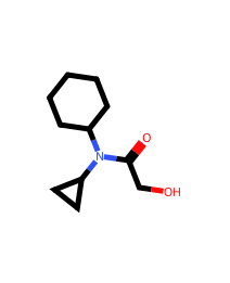 O=C(CO)N(C1CCCCC1)C1CC1